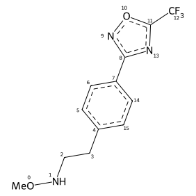 CONCCc1ccc(-c2noc(C(F)(F)F)n2)cc1